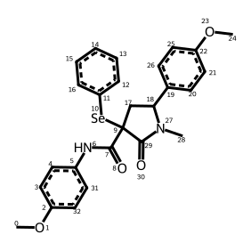 COc1ccc(NC(=O)C2([Se]c3ccccc3)CC(c3ccc(OC)cc3)N(C)C2=O)cc1